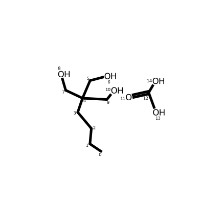 CCCCC(CO)(CO)CO.O=C(O)O